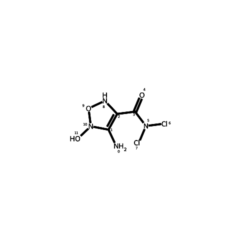 NC1=C(C(=O)N(Cl)Cl)NON1O